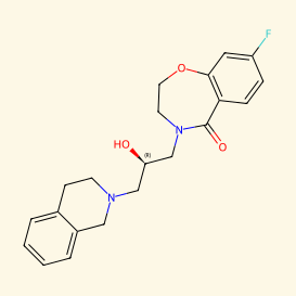 O=C1c2ccc(F)cc2OCCN1C[C@H](O)CN1CCc2ccccc2C1